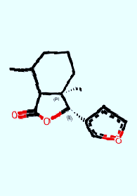 CC1CCC[C@]2(C)C1C(=O)O[C@H]2c1ccoc1